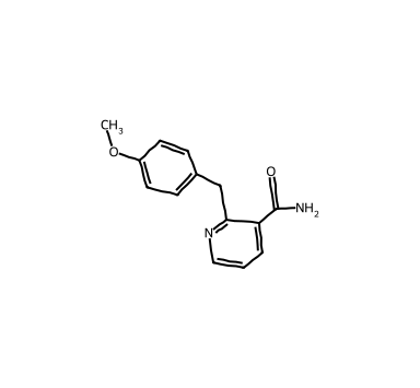 COc1ccc(Cc2ncccc2C(N)=O)cc1